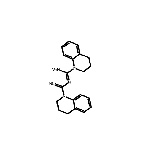 CN/C(=N\C(=N)N1CCCc2ccccc21)N1CCCc2ccccc21